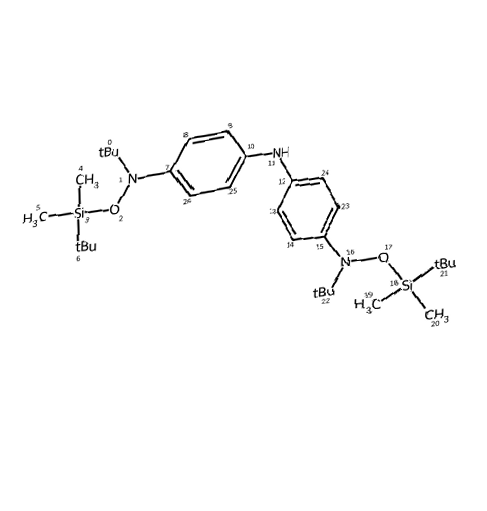 CC(C)(C)N(O[Si](C)(C)C(C)(C)C)c1ccc(Nc2ccc(N(O[Si](C)(C)C(C)(C)C)C(C)(C)C)cc2)cc1